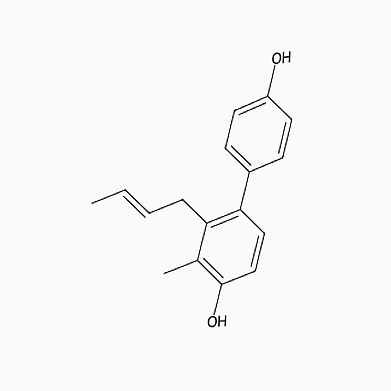 CC=CCc1c(-c2ccc(O)cc2)ccc(O)c1C